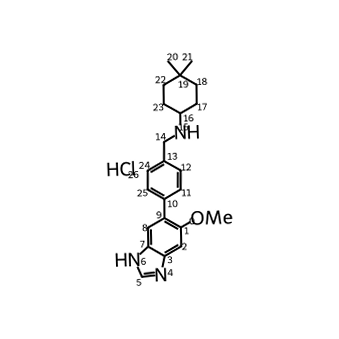 COc1cc2nc[nH]c2cc1-c1ccc(CNC2CCC(C)(C)CC2)cc1.Cl